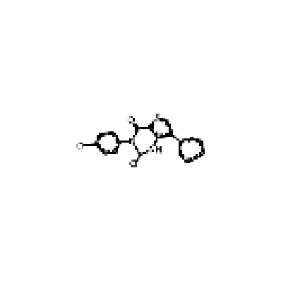 O=C1c2scc(-c3ccccc3)c2NC(Cl)N1c1ccc(Cl)cc1